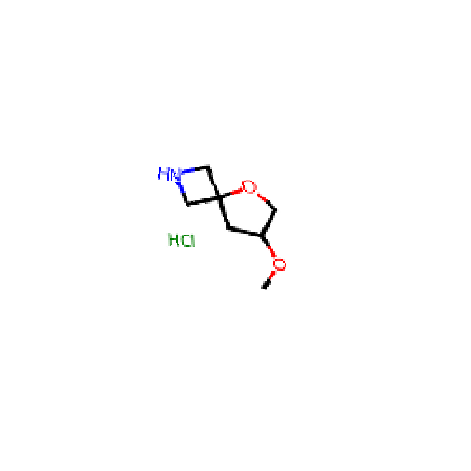 COC1COC2(CNC2)C1.Cl